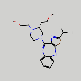 COCC[C@H]1CN(C2=Nc3ccccc3Nc3sc(C(C)C)nc32)CCN1CCOC